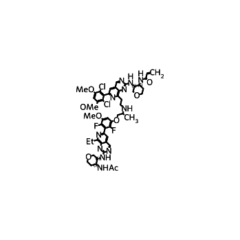 C=CC(=O)N[C@H]1CCOC[C@H]1Nc1ncc2cc(-c3c(Cl)c(OC)cc(OC)c3Cl)nc(CCNC(C)COc3cc(OC)c(F)c(-c4cc5cnc(N[C@@H]6COCC[C@@H]6NC(C)=O)nc5c(CC)n4)c3F)c2n1